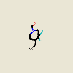 CCC1CCN(C=O)CC1(F)F